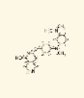 CN(C)c1cccc(N(C)c2ccc(Oc3nc(O)c4ccncc4n3)cc2)c1